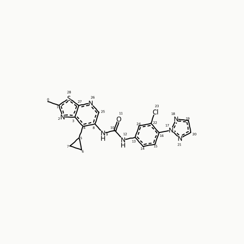 Cc1nc2c(C3CC3)c(NC(=O)Nc3ccc(-n4nccn4)c(Cl)c3)cnc2s1